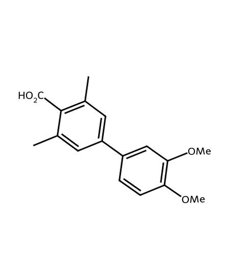 COc1ccc(-c2cc(C)c(C(=O)O)c(C)c2)cc1OC